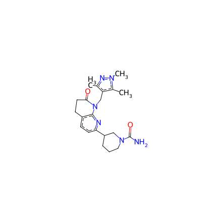 Cc1nn(C)c(C)c1CN1C(=O)CCc2ccc(C3CCCN(C(N)=O)C3)nc21